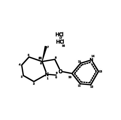 CN1CCCC[C@]1(C)COc1cccnc1.Cl.Cl